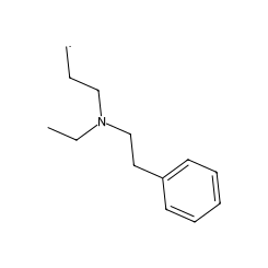 [CH2]CCN(CC)CCc1ccccc1